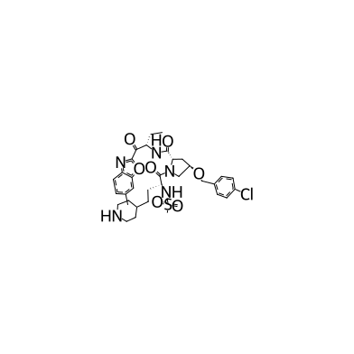 CC[C@H](NC(=O)[C@@H]1C[C@@H](OCc2ccc(Cl)cc2)CN1C(=O)[C@@H](CCC1CCNCC1)NS(C)(=O)=O)C(=O)c1nc2ccc(C)cc2o1